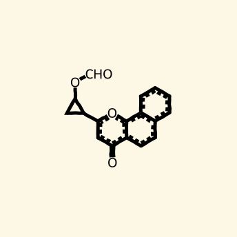 O=COC1CC1c1cc(=O)c2ccc3ccccc3c2o1